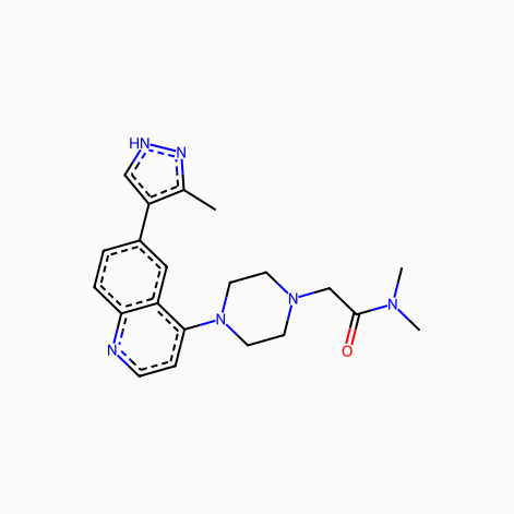 Cc1n[nH]cc1-c1ccc2nccc(N3CCN(CC(=O)N(C)C)CC3)c2c1